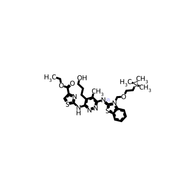 CCOC(=O)c1csc(Nc2nnc(/N=c3\sc4ccccc4n3COCC[Si](C)(C)C)c(C)c2CCCO)n1